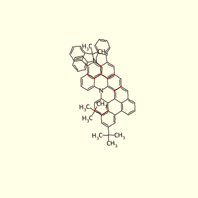 CC(C)(C)c1cc(-c2cccc3cccc(-c4ccccc4N(c4ccccc4-c4ccc5c(c4)C(C)(C)c4ccccc4-5)c4ccccc4-c4cccc5c6ccccc6n(-c6ccccc6)c45)c23)cc(C(C)(C)C)c1